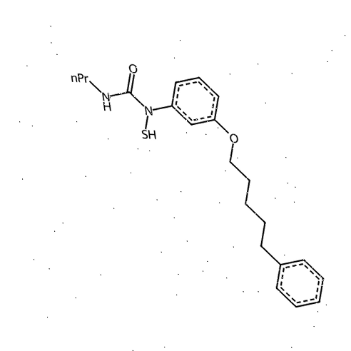 CCCNC(=O)N(S)c1cccc(OCCCCCc2ccccc2)c1